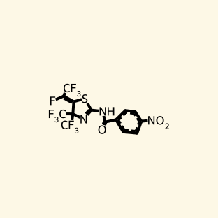 O=C(NC1=NC(C(F)(F)F)(C(F)(F)F)C(=C(F)C(F)(F)F)S1)c1ccc([N+](=O)[O-])cc1